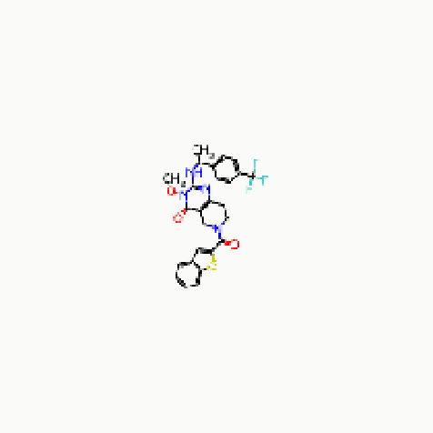 COn1c(NC(C)c2ccc(C(F)(F)F)cc2)nc2c(c1=O)CN(C(=O)c1cc3ccccc3s1)CC2